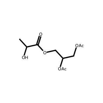 CC(=O)OCC(COC(=O)C(C)O)OC(C)=O